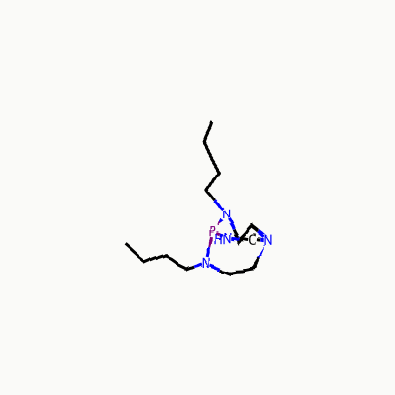 CCCCN1CC[N@]2CCN(CCCC)[P@@]1NC2